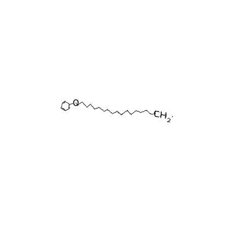 [CH2]CCCCCCCCCCCCCCCCCOc1ccccc1